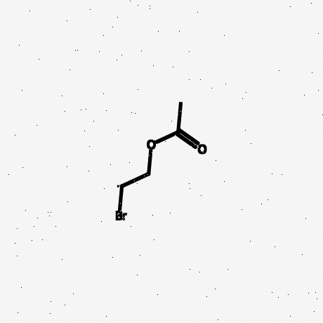 CC(=O)OC[CH]Br